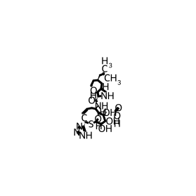 CC(C)C[C@@H]1CCO[C@@H]2[C@H](CN[C@@H]2C(=O)N[C@@H]2C/C=C\C[C@@H](c3c[nH]nn3)S[C@H]3O[C@H]2[C@H](O)[C@H](O)[C@H]3O)C1.O=CO